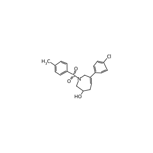 Cc1ccc(S(=O)(=O)N2CC(c3ccc(Cl)cc3)=CCC(O)C2)cc1